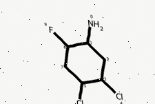 NC1CC(Cl)C(Cl)CC1F